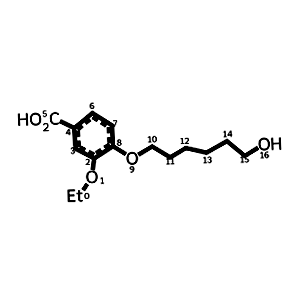 CCOc1cc(C(=O)O)ccc1OCCCCCCO